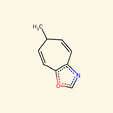 CC1C=Cc2ncoc2C=C1